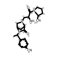 CC(c1ccc(C#N)cc1)N1C(=O)C2CC1CN2CC(N)C(=O)N1CCCC1C#N